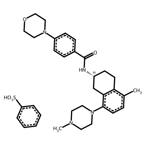 Cc1ccc(N2CCN(C)CC2)c2c1CC[C@@H](NC(=O)c1ccc(N3CCOCC3)cc1)C2.O=S(=O)(O)c1ccccc1